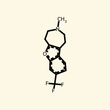 CN1CCc2oc3cc(C(F)(F)F)ccc3c2CC1